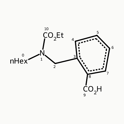 CCCCCCN(Cc1ccccc1C(=O)O)C(=O)OCC